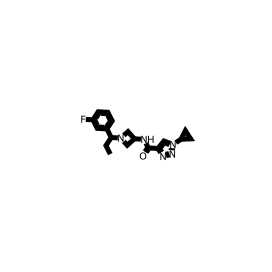 CCC(c1cccc(F)c1)N1CC(NC(=O)c2cn(C3CC3)nn2)C1